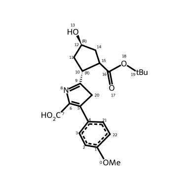 COc1ccc(C2=C(C(=O)O)N=C([C@@H]3C[C@@H](O)CC3C(=O)OC(C)(C)C)C2)cc1